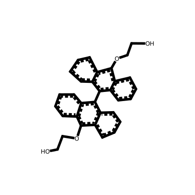 OCCOc1c2ccccc2c(-c2c3ccccc3c(OCCO)c3ccccc23)c2ccccc12